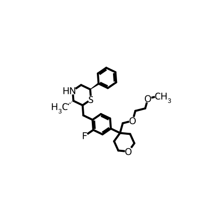 COCCOCC1(c2ccc(CC3S[C@H](c4ccccc4)CN[C@H]3C)c(F)c2)CCOCC1